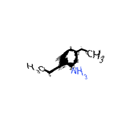 CCc1ccc(CC)cc1.N